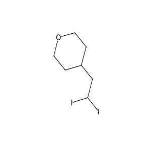 IC(I)CC1CCOCC1